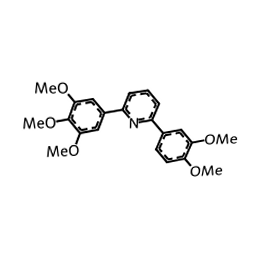 COc1ccc(-c2cccc(-c3cc(OC)c(OC)c(OC)c3)n2)cc1OC